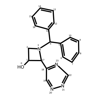 OC1CN(C(c2ccccc2)c2ccccc2)C1c1cnncn1